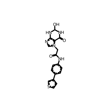 O=C(Cn1cnc2c1C(=O)NC(O)N2)Nc1ccc(-c2ccsc2)cc1